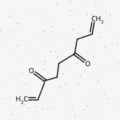 C=CCC(=O)CCC(=O)C=C